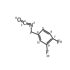 O=C=NCc1ccc(F)c(F)c1